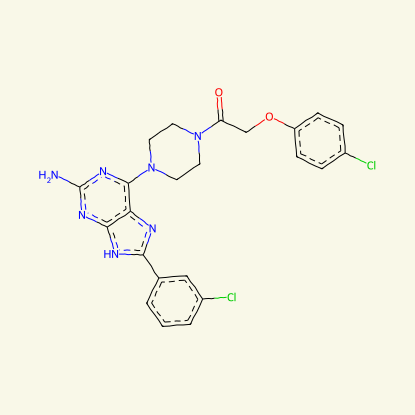 Nc1nc(N2CCN(C(=O)COc3ccc(Cl)cc3)CC2)c2nc(-c3cccc(Cl)c3)[nH]c2n1